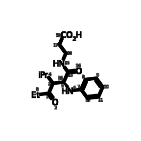 CCC(=O)C(C(C)C)[C@H](Nc1ccccc1)C(=O)NCCC(=O)O